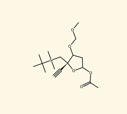 C#C[C@]1(C[Si](C)(C)C(C)(C)C)OC(OC(C)=O)CC1OCOC